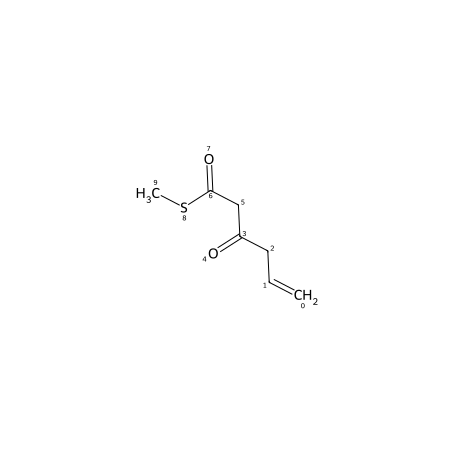 C=CCC(=O)CC(=O)SC